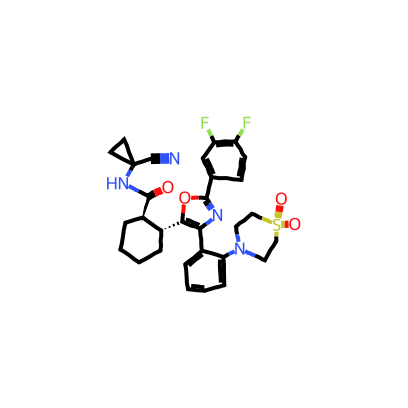 N#CC1(NC(=O)[C@@H]2CCCC[C@H]2c2oc(-c3ccc(F)c(F)c3)nc2-c2ccccc2N2CCS(=O)(=O)CC2)CC1